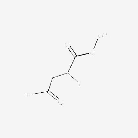 COC(=O)C(F)CC(=O)O